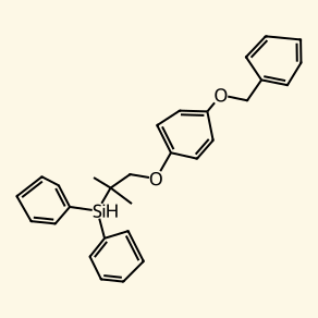 CC(C)(COc1ccc(OCc2ccccc2)cc1)[SiH](c1ccccc1)c1ccccc1